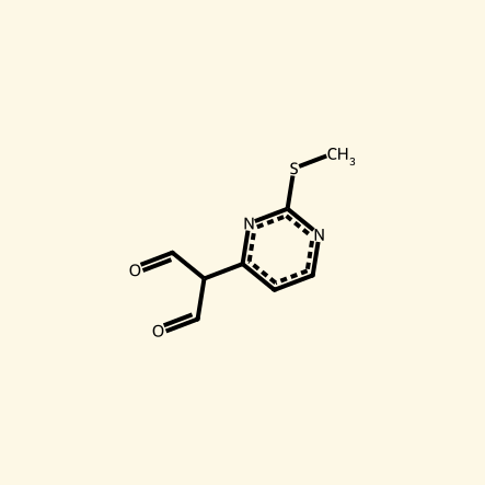 CSc1nccc(C(C=O)C=O)n1